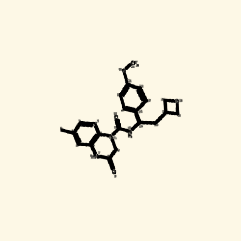 Cc1cnc2c(c1)NC(=O)CN2C(=O)NC(CC1COC1)c1ccc(OC(F)(F)F)cc1